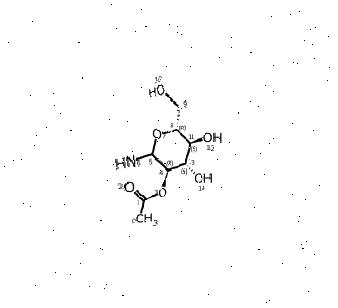 CC(=O)O[C@H]1C([NH])O[C@H](CO)[C@@H](O)[C@@H]1O